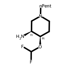 CCCCCN1CC[C@@H](OC(F)F)[C@@H](N)C1